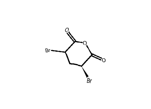 O=C1OC(=O)[C@@H](Br)CC1Br